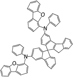 c1ccc(N(c2ccc3c(c2)C2=C(Cc4ccccc42)C32c3ccccc3-c3cc(N(c4ccccc4)c4cccc5c4oc4ccccc45)ccc32)c2cccc3c2oc2ccccc23)cc1